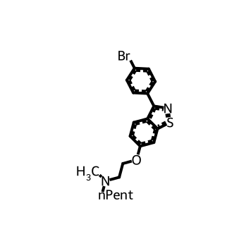 CCCCCN(C)CCOc1ccc2c(-c3ccc(Br)cc3)nsc2c1